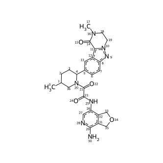 CC1CCC(c2ccc3nn4c(c3c2)C(=O)N(C)CC4)N(C(=O)C(=O)Nc2cnc(N)c3c2COC3)C1